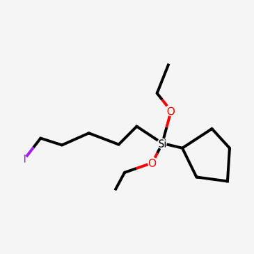 CCO[Si](CCCCCI)(OCC)C1CCCC1